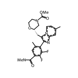 CNC(=O)c1cc(C)c(-c2nc3cc(C)ccn3c2C[C@H]2CN(C(=O)OC)CCO2)c(F)c1F